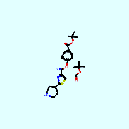 CC(C)(C)OC(=O)c1ccc(OC(N)c2csc(C3CCNCC3)n2)cc1.CC(C)(C)OC=O